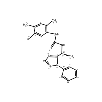 Cc1cc(C)c(NC(=O)N[C@@H](C)c2ncnn2-c2ncccn2)cc1Br